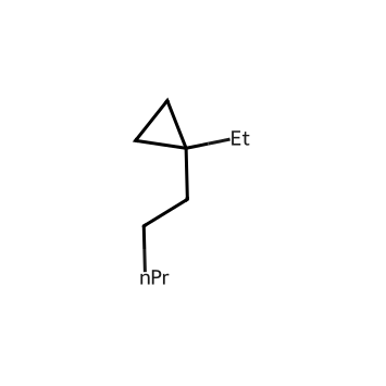 CCCCCC1(CC)CC1